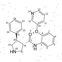 O=C(Nc1ccccc1Oc1cccnc1)[C@@H]1CNC[C@H]1c1ccccc1